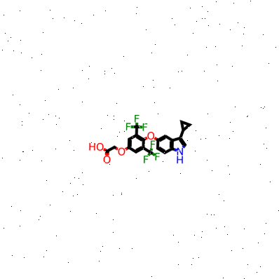 O=C(O)COc1cc(C(F)(F)F)c(Oc2ccc3[nH]cc(C4CC4)c3c2)c(C(F)(F)F)c1